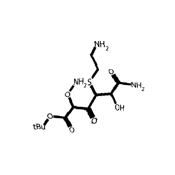 CC(C)(C)OC(=O)C(ON)C(=O)C(SCCN)C(O)C(N)=O